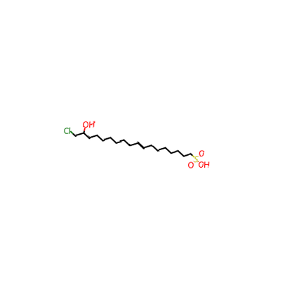 O=S(=O)(O)CCCCCCCCCCCCCCCCC(O)CCl